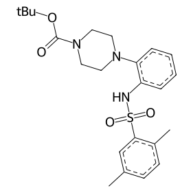 Cc1ccc(C)c(S(=O)(=O)Nc2ccccc2N2CCN(C(=O)OC(C)(C)C)CC2)c1